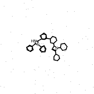 C1=C(C2CCCCC2)N(C2CCCCC2)C1C1CCCC(c2cccc(C3NC(c4ccccc4)N3c3ccccc3)c2)C1